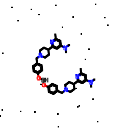 Cc1cc(N(C)C)cc(C2CCN(Cc3ccc(OBOc4ccc(CN5CCC(c6cc(N(C)C)cc(C)n6)CC5)cc4)cc3)CC2)n1